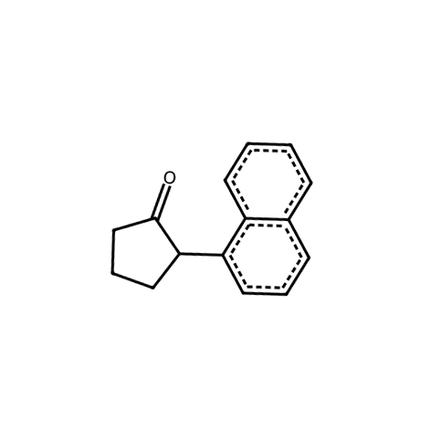 O=C1CCCC1c1cccc2ccccc12